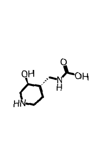 O=C(O)NC[C@@H]1CCNC[C@H]1O